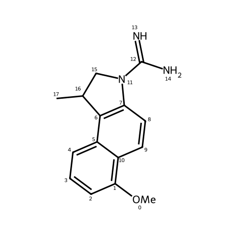 COc1cccc2c3c(ccc12)N(C(=N)N)CC3C